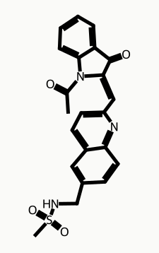 CC(=O)N1/C(=C\c2ccc3cc(CNS(C)(=O)=O)ccc3n2)C(=O)c2ccccc21